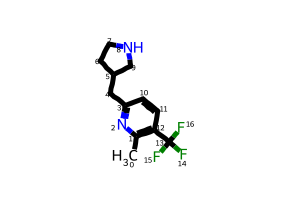 Cc1nc(CC2CCNC2)ccc1C(F)(F)F